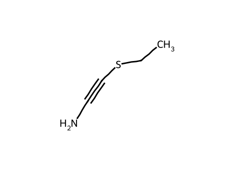 CCSC#CN